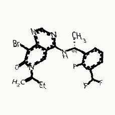 C=C(CC)n1cc2c(N[C@H](C)c3cccc(C(F)F)c3F)ncnc2c(Br)c1=O